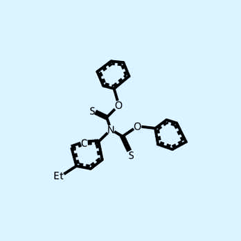 CCc1ccc(N(C(=S)Oc2ccccc2)C(=S)Oc2ccccc2)cc1